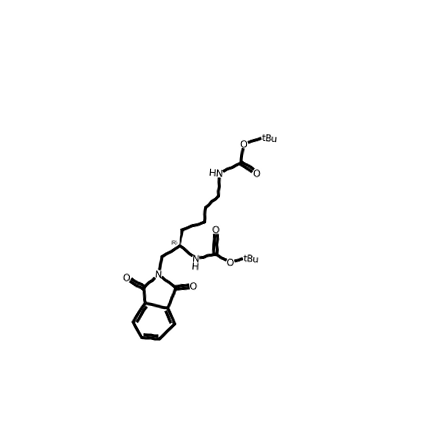 CC(C)(C)OC(=O)NCCCC[C@H](CN1C(=O)c2ccccc2C1=O)NC(=O)OC(C)(C)C